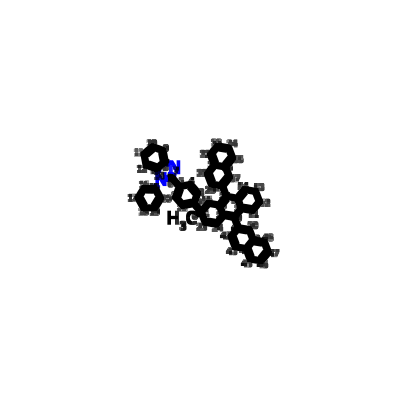 CC1(c2ccc(-c3nc4ccccc4n3-c3ccccc3)cc2)C=Cc2c(c(-c3ccc4ccccc4c3)c3c(c2-c2ccc4ccccc4c2)=CCCC=3)C1